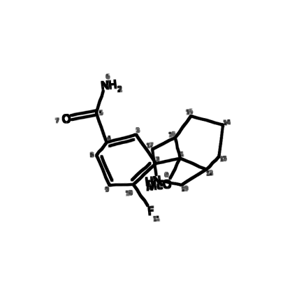 COC1(c2cc(C(N)=O)ccc2F)C2CCCC1CNC2